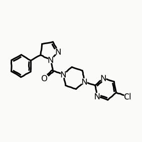 O=C(N1CCN(c2ncc(Cl)cn2)CC1)N1N=CCC1c1ccccc1